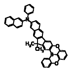 CC1(C)c2cc3c(cc2-c2cc4ccc(N(c5ccccc5)c5ccc6ccccc6c5)cc4cc21)Oc1cccc2c1B3c1ccccc1O2